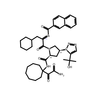 CC(C)(O)c1cnnn1[C@H]1C[C@@H](C(=O)NC2(C(=O)C(N)=O)CCCCCCC2)N(C(=O)/C(CC2CCCCC2)=N/C(=O)c2ccc3ccccc3c2)C1